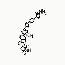 Nc1ccc(C2CCN(c3ccc(CN4CCC(O)(c5ccc6c(c5)CN(C5CCC(=O)NC5=O)C6=O)CC4)cc3)CC2)cn1